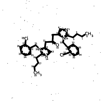 CCCCc1ncc(CC(=O)Cc2cnc(CCCC)n2Cc2ccccc2Cl)n1Cc1ccccc1Cl